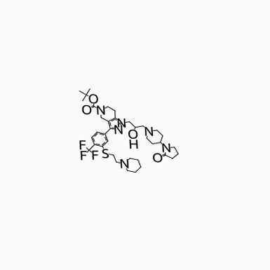 CC(C)(C)OC(=O)N1CCc2c(c(-c3ccc(C(F)(F)F)c(SCCN4CCCCC4)c3)nn2CC(O)CN2CCC(N3CCCC3=O)CC2)C1